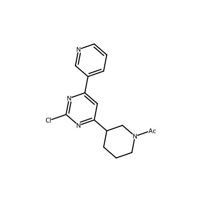 CC(=O)N1CCCC(c2cc(-c3cccnc3)nc(Cl)n2)C1